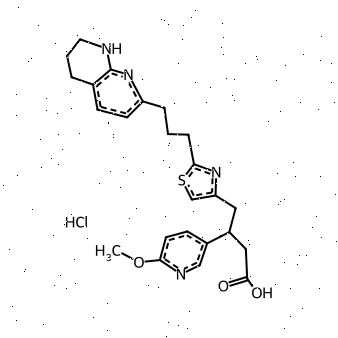 COc1ccc(C(CC(=O)O)Cc2csc(CCCc3ccc4c(n3)NCCC4)n2)cn1.Cl